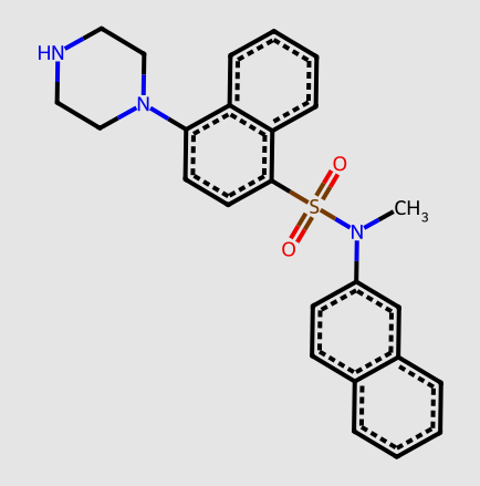 CN(c1ccc2ccccc2c1)S(=O)(=O)c1ccc(N2CCNCC2)c2ccccc12